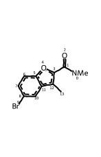 CNC(=O)c1oc2ccc(Br)cc2c1C